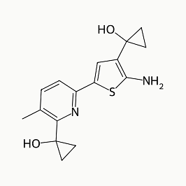 Cc1ccc(-c2cc(C3(O)CC3)c(N)s2)nc1C1(O)CC1